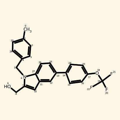 Cc1ccc(Cn2c(CO)[c]c3cc(-c4ccc(OC(F)(F)F)cc4)ccc32)cc1